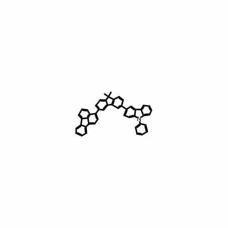 CC1(C)c2ccc(-c3ccc4c(c3)c3ccccc3n4-c3ccccc3)cc2-c2cc(-c3ccc4c5c(cccc35)-c3ccccc3-4)ccc21